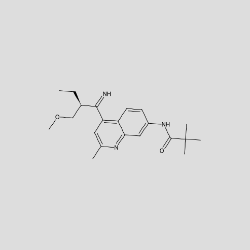 CC[C@H](COC)C(=N)c1cc(C)nc2cc(NC(=O)C(C)(C)C)ccc12